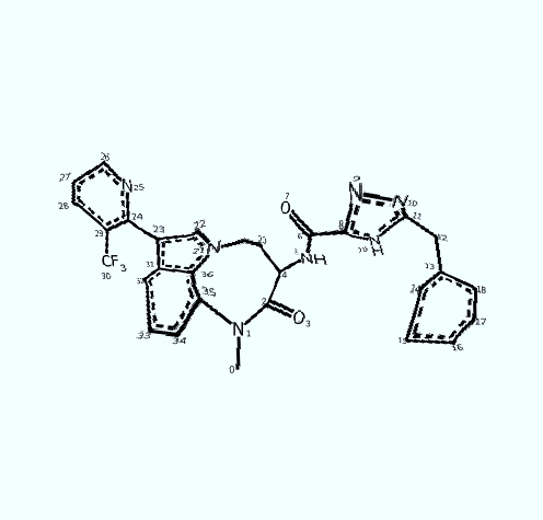 CN1C(=O)C(NC(=O)c2nnc(Cc3ccccc3)[nH]2)Cn2cc(-c3ncccc3C(F)(F)F)c3cccc1c32